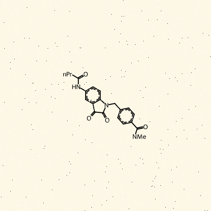 CCCC(=O)Nc1ccc2c(c1)C(=O)C(=O)N2Cc1ccc(C(=O)NC)cc1